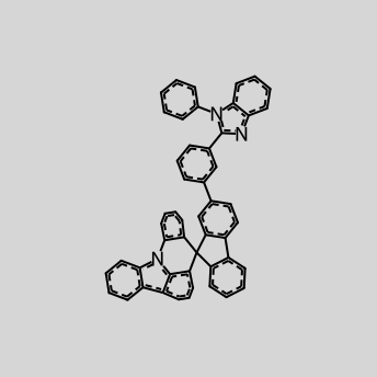 c1ccc(-n2c(-c3cccc(-c4ccc5c(c4)C4(c6ccccc6-5)c5ccccc5-n5c6ccccc6c6cccc4c65)c3)nc3ccccc32)cc1